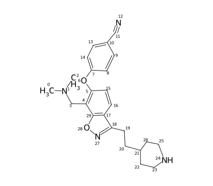 CN(C)Cc1c(Oc2ccc(C#N)cc2)ccc2c(CCC3CCNCC3)noc12